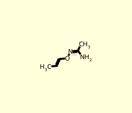 CC=CO/N=C(/C)N